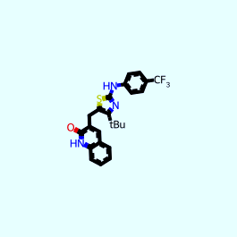 CC(C)(C)c1nc(Nc2ccc(C(F)(F)F)cc2)sc1Cc1cc2ccccc2[nH]c1=O